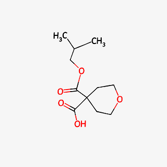 CC(C)COC(=O)C1(C(=O)O)CCOCC1